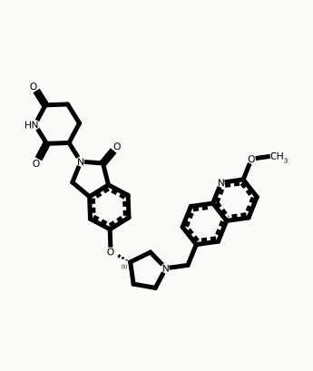 COc1ccc2cc(CN3CC[C@H](Oc4ccc5c(c4)CN(C4CCC(=O)NC4=O)C5=O)C3)ccc2n1